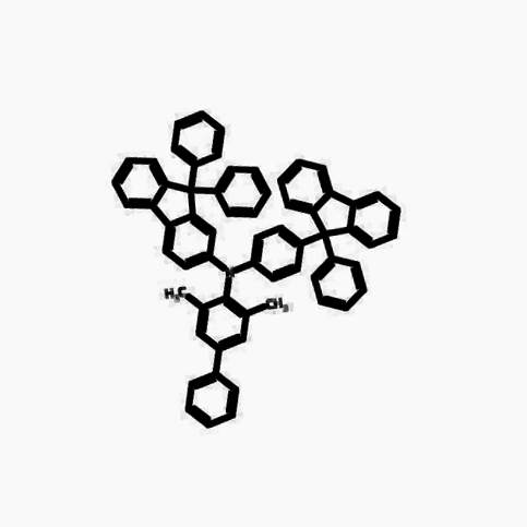 Cc1cc(-c2ccccc2)cc(C)c1N(c1ccc(C2(c3ccccc3)c3ccccc3-c3ccccc32)cc1)c1ccc2c(c1)C(c1ccccc1)(c1ccccc1)c1ccccc1-2